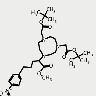 COC(=O)C(CCCc1ccc([N+](=O)[O-])cc1)N1CCN(CC(=O)OC(C)(C)C)CCN(CC(=O)OC(C)(C)C)CC1